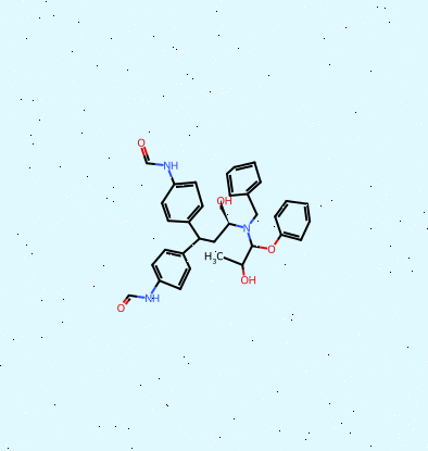 CC(O)C(Oc1ccccc1)N(Cc1ccccc1)[C@H](CO)CC(c1ccc(NC=O)cc1)c1ccc(NC=O)cc1